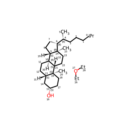 CC(C)CCC[C@@H](C)[C@H]1CC[C@H]2[C@@H]3CC[C@H]4C[C@@H](O)CC[C@]4(C)[C@H]3CC[C@]12C.CCOCC